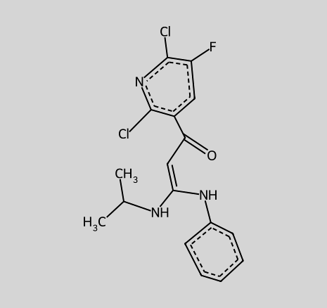 CC(C)NC(=CC(=O)c1cc(F)c(Cl)nc1Cl)Nc1ccccc1